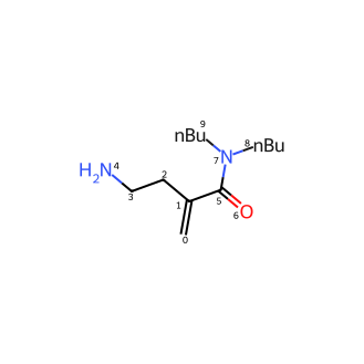 C=C(CCN)C(=O)N(CCCC)CCCC